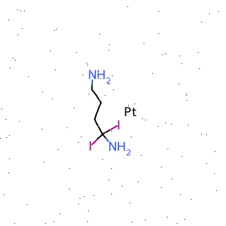 NCCCC(N)(I)I.[Pt]